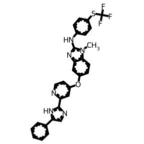 Cn1c(Nc2ccc(SC(F)(F)F)cc2)nc2cc(Oc3ccnc(-c4ncc(-c5ccccc5)[nH]4)c3)ccc21